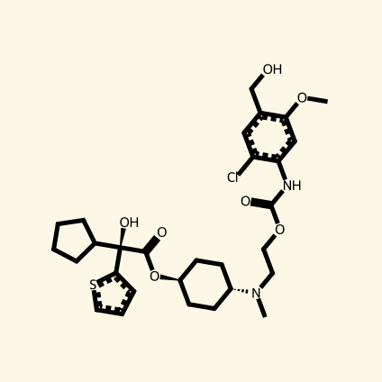 COc1cc(NC(=O)OCCN(C)[C@H]2CC[C@H](OC(=O)[C@](O)(c3cccs3)C3CCCC3)CC2)c(Cl)cc1CO